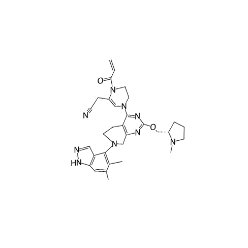 C=CC(=O)N1CCN(c2nc(OC[C@@H]3CCCN3C)nc3c2CCN(c2c(C)c(C)cc4[nH]ncc24)C3)C=C1CC#N